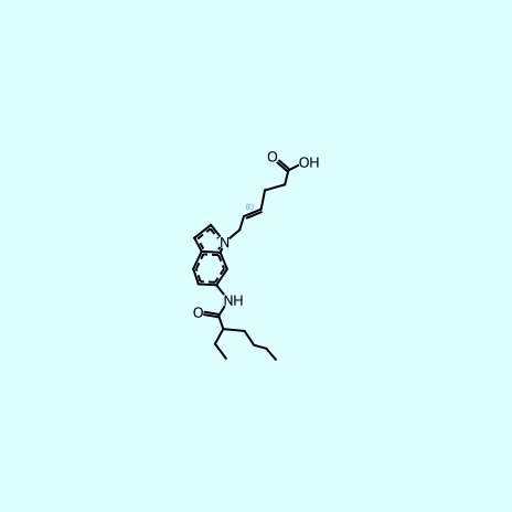 CCCCC(CC)C(=O)Nc1ccc2ccn(C/C=C/CCC(=O)O)c2c1